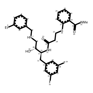 CCc1cccc(CNC[C@@H](O)[C@H](Cc2cc(F)cc(F)c2)NC(=O)CCSc2ccccc2C(=O)NC)c1